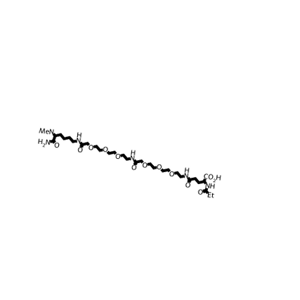 CCC(=O)NC(CCC(=O)NCCOCCOCCOCC(=O)NCCOCCOCCOCC(=O)NCCCCC(NC)C(N)=O)C(=O)O